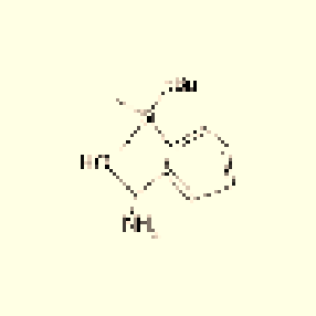 CC(C)(C)[Si](C)(C)c1ccccc1C(N)O